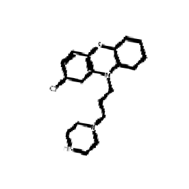 ClC1C=CC2=C(C1)N(CCCN1CCNCC1)C1CCCCC1S2